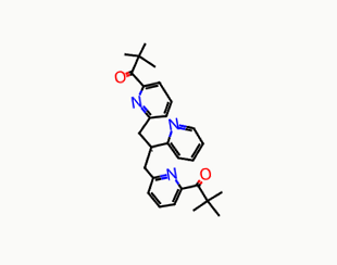 CC(C)(C)C(=O)c1cccc(C[C](Cc2cccc(C(=O)C(C)(C)C)n2)c2ccccn2)n1